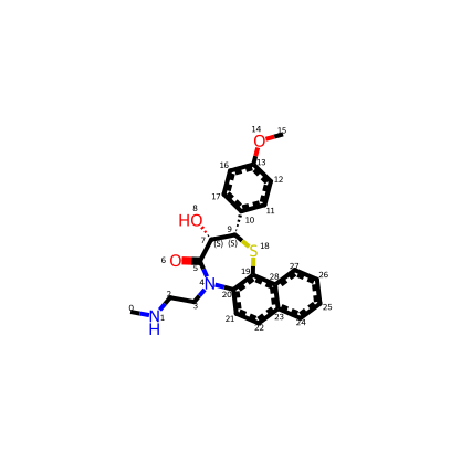 CNCCN1C(=O)[C@H](O)[C@H](c2ccc(OC)cc2)Sc2c1ccc1ccccc21